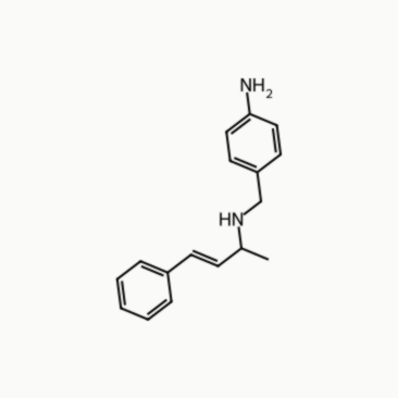 CC(C=Cc1ccccc1)NCc1ccc(N)cc1